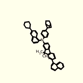 CC1(C)c2cc(-c3cccc4ccccc34)ccc2-c2ccc(N(c3ccc(C4CC5CCC4C5)cc3)c3cccc4cc(C5CCCCC5)ccc34)cc21